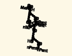 CCCCCCCCC(CCCC(CCCC)C(C)CCCC(CCCCC)CCCOC(=O)CCCCCCCN(CCO)CCCCCCCC(=O)OCCCC(CCCCC)CCCCC)OC(=O)CCCCCCCN(CCCCCCCC(=O)OCCCC(CCCCC)CCCCC)CCCNc1c(NC)c(=O)c1=O